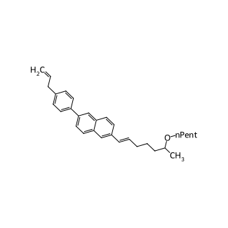 C=CCc1ccc(-c2ccc3cc(/C=C/CCCC(C)OCCCCC)ccc3c2)cc1